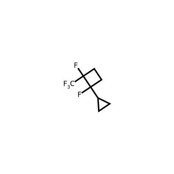 FC(F)(F)C1(F)CCC1(F)C1CC1